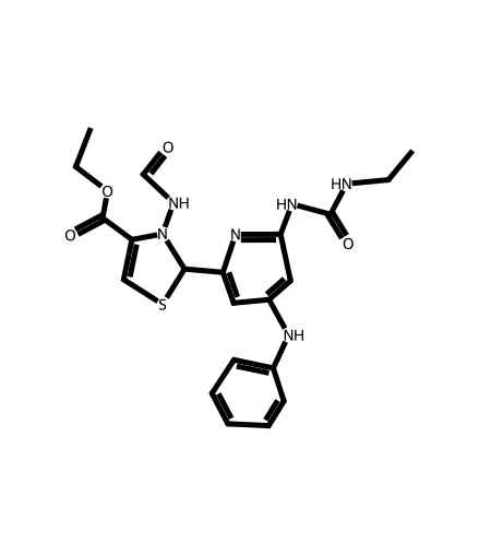 CCNC(=O)Nc1cc(Nc2ccccc2)cc(C2SC=C(C(=O)OCC)N2NC=O)n1